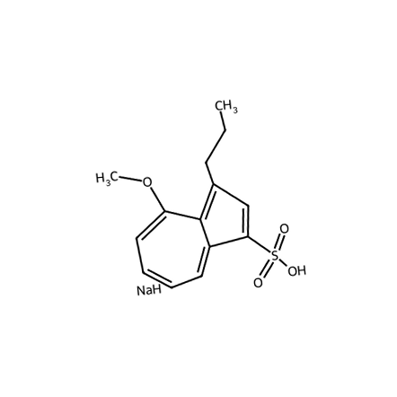 CCCc1cc(S(=O)(=O)O)c2ccccc(OC)c1-2.[NaH]